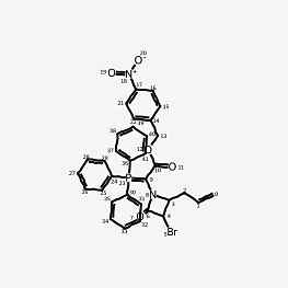 C=CCC1C(Br)C(=O)N1C(C(=O)OCc1ccc([N+](=O)[O-])cc1)=P(c1ccccc1)(c1ccccc1)c1ccccc1